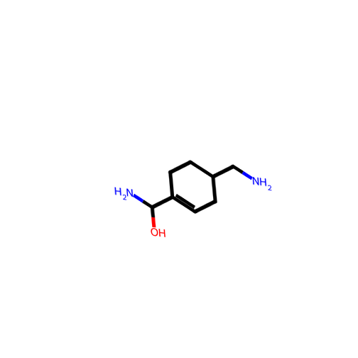 NCC1CC=C(C(N)O)CC1